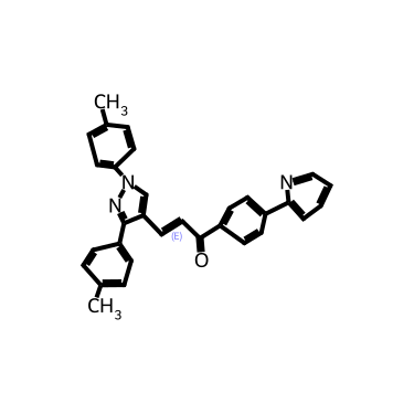 Cc1ccc(-c2nn(-c3ccc(C)cc3)cc2/C=C/C(=O)c2ccc(-c3ccccn3)cc2)cc1